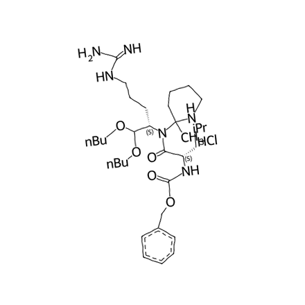 CCCCOC(OCCCC)[C@H](CCCNC(=N)N)N(C(=O)[C@H](CC(C)C)NC(=O)OCc1ccccc1)C1(C)CCCCN1.Cl